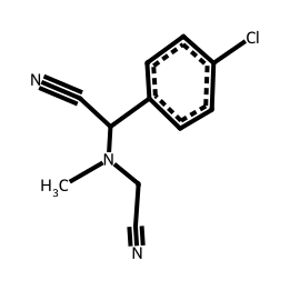 CN(CC#N)C(C#N)c1ccc(Cl)cc1